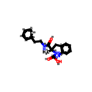 CC(Cc1ccccc1N)(NC(=O)O)C(=O)NCCc1ccccc1